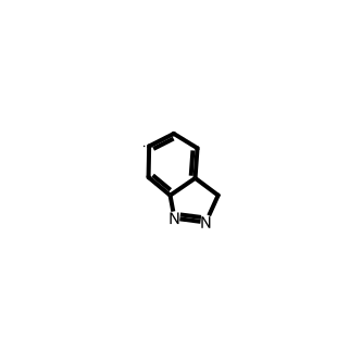 [c]1ccc2c(c1)N=NC2